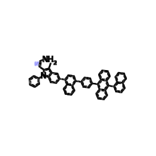 Cc1c(/C=C\N)n(-c2ccccc2)c2ccc(-c3ccc(-c4ccc(-c5c6ccccc6c(-c6cccc7ccccc67)c6ccccc56)cc4)c4ccccc34)cc12